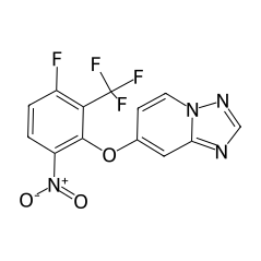 O=[N+]([O-])c1ccc(F)c(C(F)(F)F)c1Oc1ccn2ncnc2c1